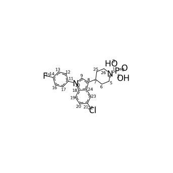 O=P(O)(O)N1CCC(c2cn(-c3ccc(F)cc3)c3ccc(Cl)cc23)CC1